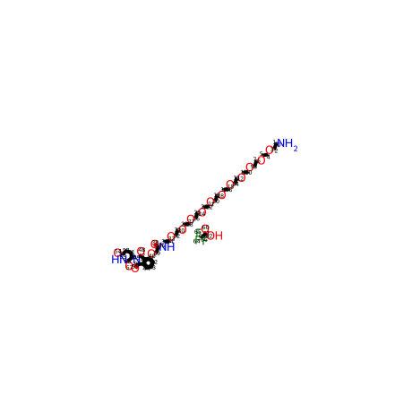 NCCOCCOCCOCCOCCOCCOCCOCCOCCOCCOCCOCCNC(=O)COc1cccc2c1C(=O)N(C1CCC(=O)NC1=O)C2=O.O=C(O)C(F)(F)F